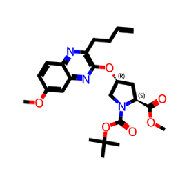 C=CCCc1nc2ccc(OC)cc2nc1O[C@@H]1C[C@@H](C(=O)OC)N(C(=O)OC(C)(C)C)C1